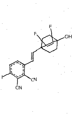 N#Cc1c(I)ccc(/C=C/C23CCC(O)(CC2)C(F)=C3F)c1C#N